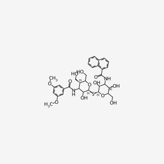 COc1cc(OC)cc(C(=O)NC2C(O)[C@H](S[C@@H]3OC(CO)[C@H](O)C(NC(=O)c4cccc5ccccc45)C3O)OC(CO)[C@@H]2CO)c1